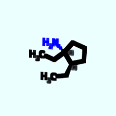 CC[C@@H]1CCC[C@]1(N)CC